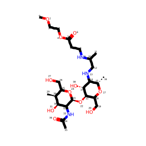 COCCOC(=O)CCNC(C)CNC1[C@H](C)OC(CO)[C@@H](O[C@@H]2OC(CO)[C@H](C)[C@H](O)C2NC(C)=O)[C@@H]1O